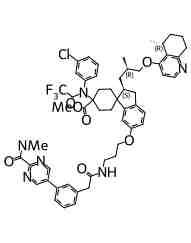 CNC(=O)c1ncc(-c2cccc(CC(=O)NCCCOc3ccc4c(c3)C3(CCC(C(=O)OC)(N(C(=O)C(F)(F)F)c5cccc(Cl)c5)CC3)[C@@H](C[C@@H](C)COc3ccnc5c3[C@H](C)CCC5)C4)c2)cn1